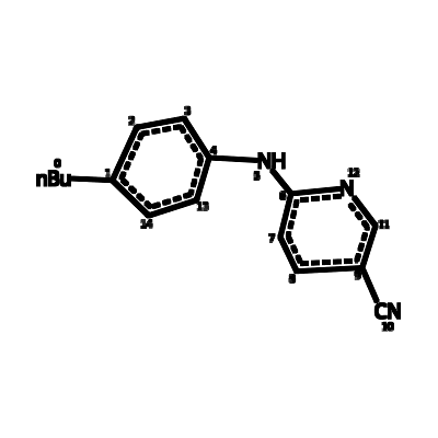 CCCCc1ccc(Nc2ccc(C#N)cn2)cc1